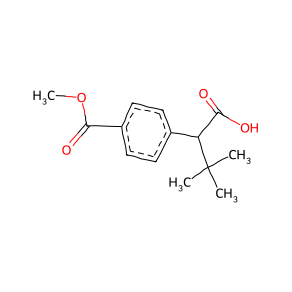 COC(=O)c1ccc(C(C(=O)O)C(C)(C)C)cc1